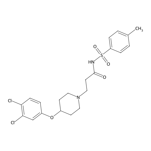 Cc1ccc(S(=O)(=O)NC(=O)CCN2CCC(Oc3ccc(Cl)c(Cl)c3)CC2)cc1